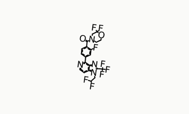 O=C(c1ccc(-c2nccc3c2nc(C(F)(F)F)n3CC(F)F)cc1F)N1CCOC(F)(F)C1